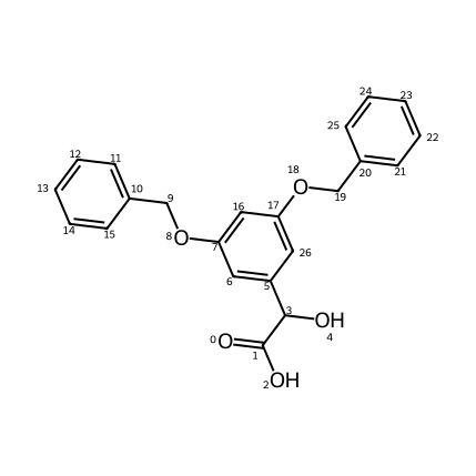 O=C(O)C(O)c1cc(OCc2ccccc2)cc(OCc2ccccc2)c1